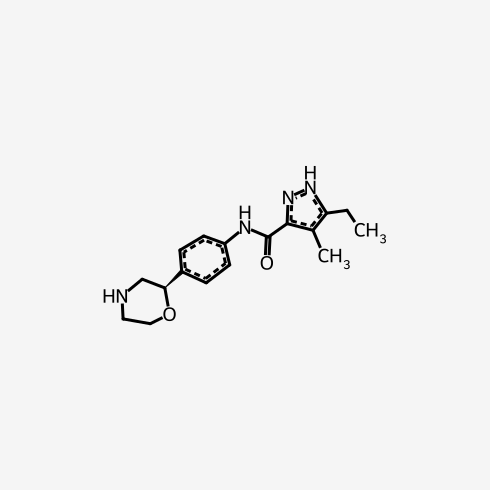 CCc1[nH]nc(C(=O)Nc2ccc([C@@H]3CNCCO3)cc2)c1C